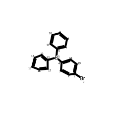 Brc1ccc(B(c2ccccc2)c2ccccc2)cc1